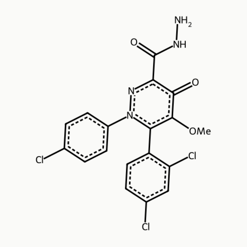 COc1c(-c2ccc(Cl)cc2Cl)n(-c2ccc(Cl)cc2)nc(C(=O)NN)c1=O